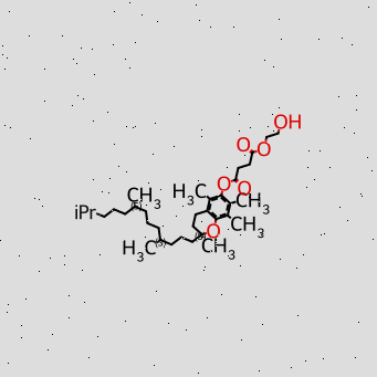 Cc1c(C)c2c(c(C)c1OC(=O)CCC(=O)OCCO)CC[C@](C)(CCC[C@@H](C)CCC[C@@H](C)CCCC(C)C)O2